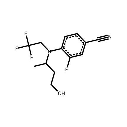 CC(CCO)N(CC(F)(F)F)c1ccc(C#N)cc1F